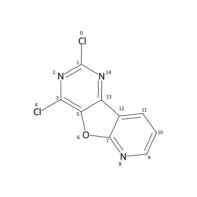 Clc1nc(Cl)c2oc3ncccc3c2n1